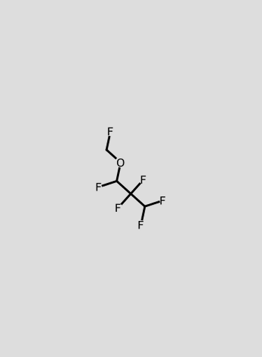 FCOC(F)C(F)(F)C(F)F